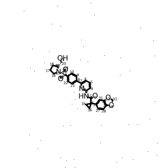 O=C(Nc1cccc(-c2ccc(S(=O)(=O)N3CCC[C@@H]3CO)cc2)n1)C1(c2ccc3c(c2)OCO3)CC1